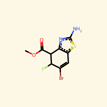 COC(=O)C1c2nc(N)sc2C=C(Br)C1F